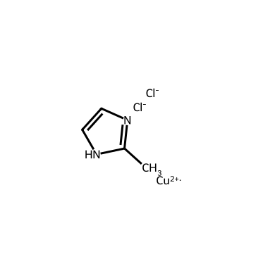 Cc1ncc[nH]1.[Cl-].[Cl-].[Cu+2]